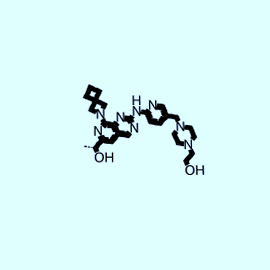 C[C@@H](O)c1cc2cnc(Nc3ccc(CN4CCN(CCO)CC4)cn3)nc2c(N2CC3(CCC3)C2)n1